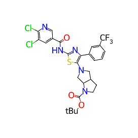 CC(C)(C)OC(=O)N1CCC2CN(c3sc(NC(=O)c4cnc(Cl)c(Cl)c4)nc3-c3cccc(C(F)(F)F)c3)CC21